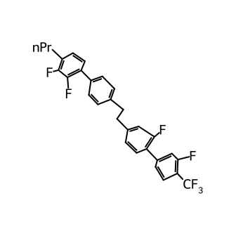 CCCc1ccc(-c2ccc(CCc3ccc(-c4ccc(C(F)(F)F)c(F)c4)c(F)c3)cc2)c(F)c1F